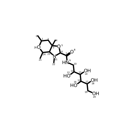 CC1CC2(C)OC(C(=O)NCC(O)C(O)C(O)C(O)CO)N(C)C2C(C)O1